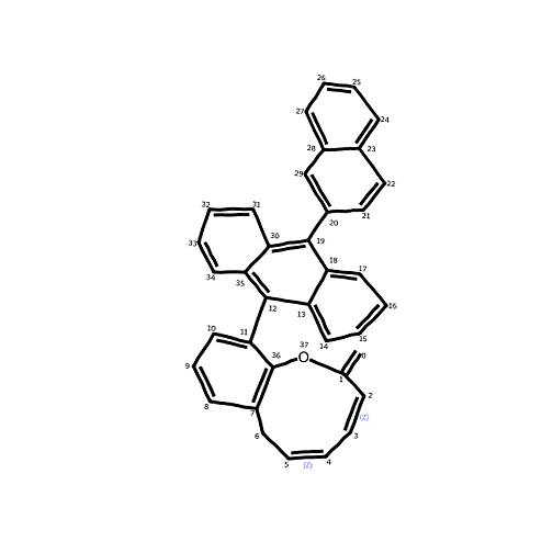 C=C1/C=C\C=C/Cc2cccc(-c3c4ccccc4c(-c4ccc5ccccc5c4)c4ccccc34)c2O1